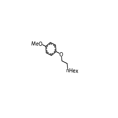 [CH2-][OH+]c1ccc(OCCCCCCCC)cc1